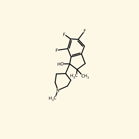 CN1CCC(C2(O)c3c(cc(F)c(F)c3F)CC2(C)C)CC1